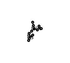 c1ccc(-c2ccc(-c3nc(-c4ccc(-c5cccc(-c6nc7cc8ccccc8cc7c7sc8ccccc8c67)c5)cc4)cc(-c4cccc(-n5c6ccccc6c6ccccc65)c4)n3)cc2)cc1